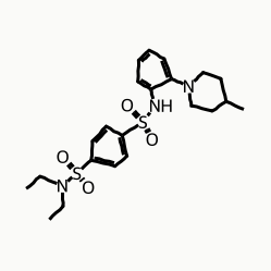 CCN(CC)S(=O)(=O)c1ccc(S(=O)(=O)Nc2ccccc2N2CCC(C)CC2)cc1